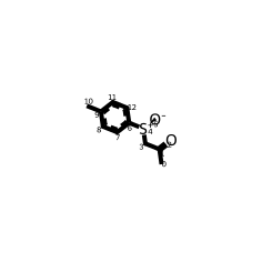 CC(=O)C[S@+]([O-])c1ccc(C)cc1